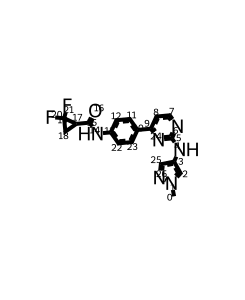 Cn1cc(Nc2nccc(-c3ccc(NC(=O)C4CC4(F)F)cc3)n2)cn1